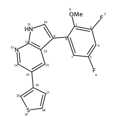 COc1c(F)cc(F)cc1-c1c[nH]c2ncc(-c3ccsc3)cc12